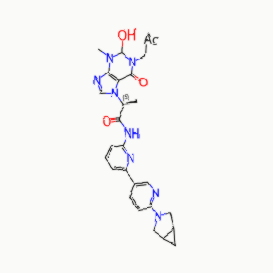 CC(=O)CN1C(=O)c2c(ncn2[C@@H](C)C(=O)Nc2cccc(-c3ccc(N4CC5CC5C4)nc3)n2)N(C)C1O